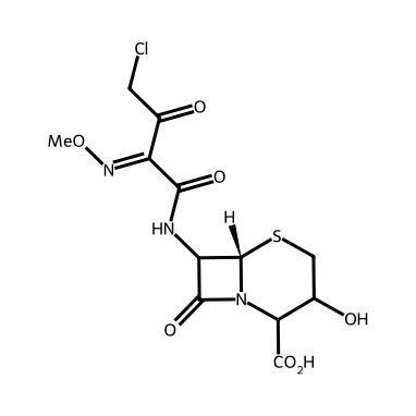 CON=C(C(=O)CCl)C(=O)NC1C(=O)N2C(C(=O)O)C(O)CS[C@@H]12